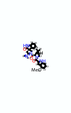 C=[N+](C)[C@@H]1C[C@@]2(CN1C(=O)[C@@H]1C3[C@H](CN1C(=O)c1cc4c(OC)cccc4[nH]1)C3(C)C)C(=O)Nc1ccccc12